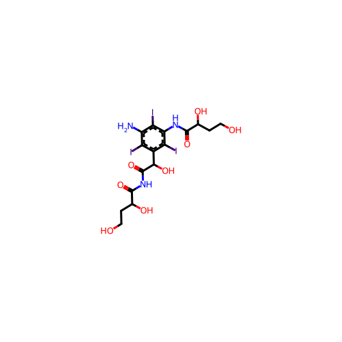 Nc1c(I)c(NC(=O)C(O)CCO)c(I)c(C(O)C(=O)NC(=O)C(O)CCO)c1I